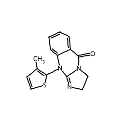 Cc1ccsc1N1C2=NCCN2C(=O)c2ccccc21